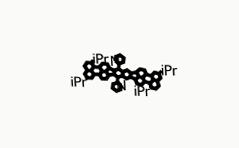 CC(C)c1cc2ccc(C(C)C)c3c4ccc5c6cc7c(-c8ccccn8)c8c9ccc%10c%11cc(C(C)C)cc%12ccc(C(C)C)c(c%13ccc(c8c(-c8ccccn8)c7cc6c6ccc(c(c1)c23)c4c56)c9c%10%13)c%12%11